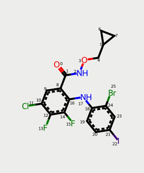 O=C(NOCC1CC1)c1cc(Cl)c(F)c(F)c1Nc1ccc(I)cc1Br